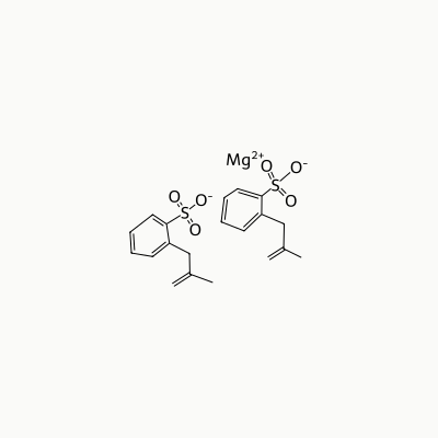 C=C(C)Cc1ccccc1S(=O)(=O)[O-].C=C(C)Cc1ccccc1S(=O)(=O)[O-].[Mg+2]